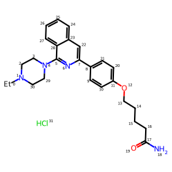 CCN1CCN(c2nc(-c3ccc(OCCCCC(N)=O)cc3)cc3ccccc23)CC1.Cl